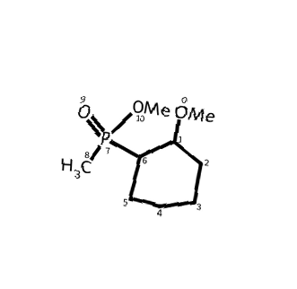 COC1CCCCC1P(C)(=O)OC